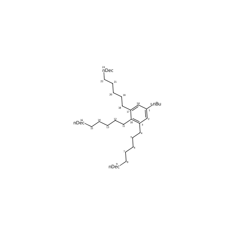 [CH2]CCCc1cc(CCCCCCCCCCCCCCC)c(CCCCCCCCCCCCCCC)c(CCCCCCCCCCCCCCC)c1